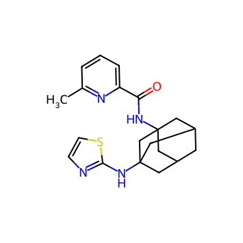 Cc1cccc(C(=O)NC23CC4CC(C2)CC(Nc2nccs2)(C4)C3)n1